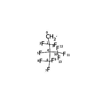 [CH2]C(F)(F)C(F)(C(F)(F)F)C(F)(F)F